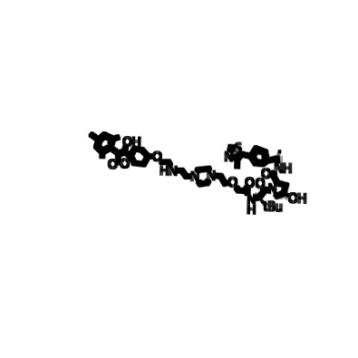 Cc1cc(C)c(C2=C(O)C3(CCC(OCCNCCN4CCN(CCOCC(=O)N[C@H](C(=O)N5C[C@H](O)CC5C(=O)N[C@@H](C)c5ccc(-c6scnc6C)cc5)C(C)(C)C)CC4)CC3)OC2=O)c(C)c1